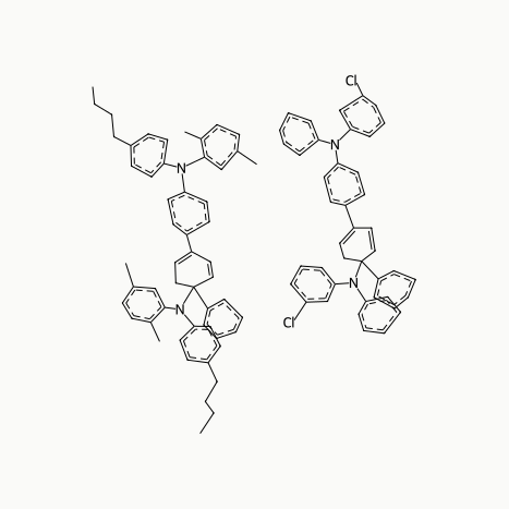 CCCCc1ccc(N(c2ccc(C3=CCC(c4ccccc4)(N(c4ccc(CCCC)cc4)c4cc(C)ccc4C)C=C3)cc2)c2cc(C)ccc2C)cc1.Clc1cccc(N(c2ccccc2)c2ccc(C3=CCC(c4ccccc4)(N(c4ccccc4)c4cccc(Cl)c4)C=C3)cc2)c1